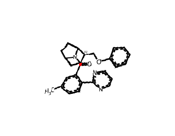 Cc1ccc(-c2ncccn2)c(C(=O)N2C3CCC2[C@@H](COc2ccccc2)CC3)c1